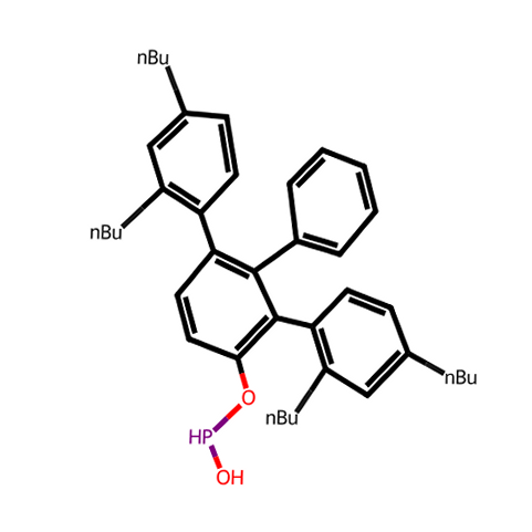 CCCCc1ccc(-c2ccc(OPO)c(-c3ccc(CCCC)cc3CCCC)c2-c2ccccc2)c(CCCC)c1